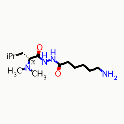 CC(C)C[C@H](C(=O)NNC(=O)CCCCCN)N(C)C